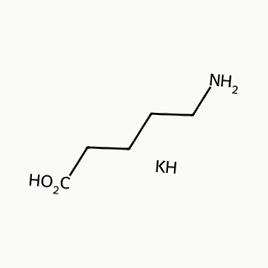 NCCCCC(=O)O.[KH]